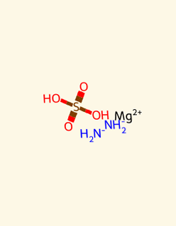 O=S(=O)(O)O.[Mg+2].[NH2-].[NH2-]